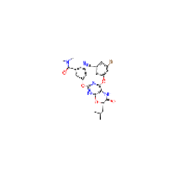 CC(C)CC1Oc2nc(Oc3cccc(C(=O)N(C)C)c3)nc(Oc3cc(Br)cc(C#N)c3)c2NC1=O